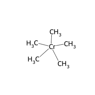 [CH3][Cr]([CH3])([CH3])([CH3])[CH3]